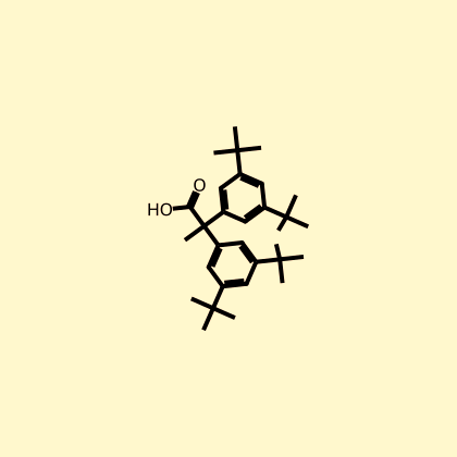 CC(C)(C)c1cc(C(C)(C)C)cc(C(C)(C(=O)O)c2cc(C(C)(C)C)cc(C(C)(C)C)c2)c1